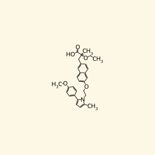 CCO[C@](C)(Cc1ccc2cc(OCCn3c(C)ccc3-c3ccc(OC)cc3)ccc2c1)C(=O)O